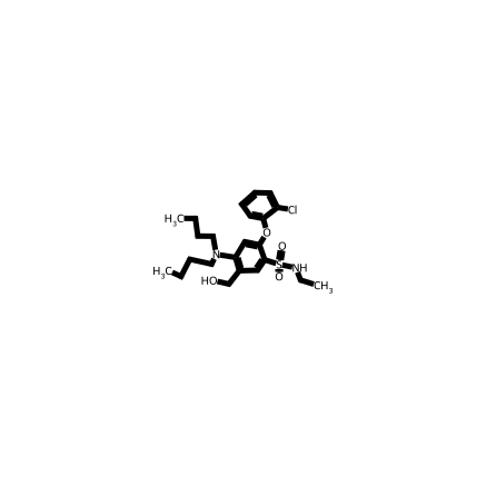 CCCCN(CCCC)c1cc(Oc2ccccc2Cl)c(S(=O)(=O)NCC)cc1CO